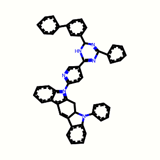 C1=C2c3ccccc3N(c3ccccc3)C2Cc2c1c1ccccc1n2-c1ccc(C2=NC(c3ccccc3)=NC(c3cccc(-c4ccccc4)c3)N2)cn1